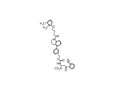 Cc1cccc(OCCCC(=O)N2CCCc3c(-c4cccc(COC(=O)NC(CC(=O)c5ccccc5N)C(=O)O)c4)cccc32)c1C